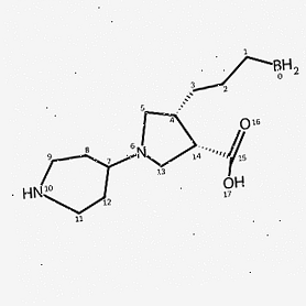 BCCC[C@H]1CN(C2CCNCC2)C[C@H]1C(=O)O